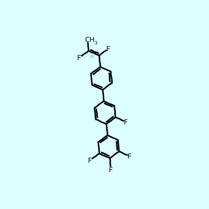 C/C(F)=C(\F)c1ccc(-c2ccc(-c3cc(F)c(F)c(F)c3)c(F)c2)cc1